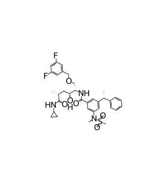 C[C@H](c1ccccc1)c1cc(C(=O)N[C@@H](COCc2cc(F)cc(F)c2)[C@@H](O)C[C@@H](C)C(=O)NC2CC2)cc(N(C)S(C)(=O)=O)c1